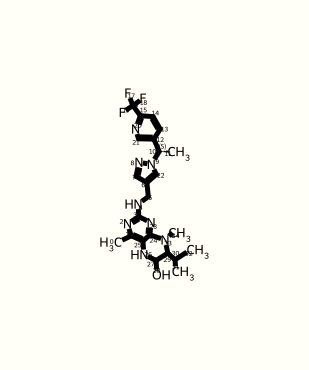 Cc1nc(NCc2cnn([C@@H](C)c3ccc(C(F)(F)F)nc3)c2)nc2c1NC(O)C(C(C)C)N2C